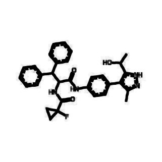 Cc1n[nH]c(C(C)O)c1-c1ccc(NC(=O)C(NC(=O)C2(F)CC2)C(c2ccccc2)c2ccccc2)cc1